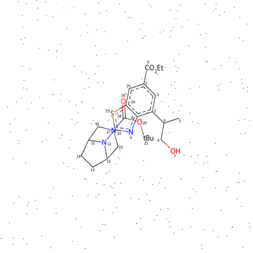 CCOC(=O)c1cc(C(C)CO)c2nc(N3C4CCC3CN(C(=O)OC(C)(C)C)C4)sc2c1